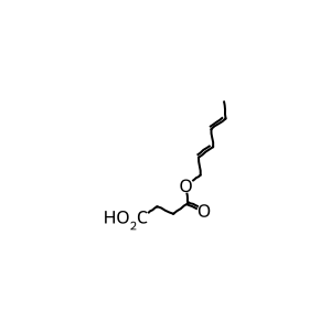 CC=CC=CCOC(=O)CCC(=O)O